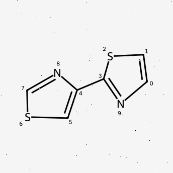 c1csc(-c2cscn2)n1